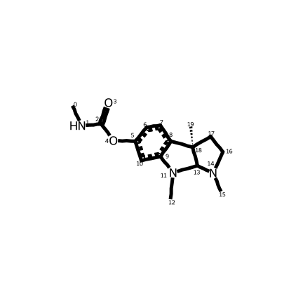 CNC(=O)Oc1ccc2c(c1)N(C)C1N(C)CC[C@]21C